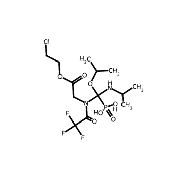 CC(C)NC(OC(C)C)(N(CC(=O)OCCCl)C(=O)C(F)(F)F)P(=O)(O)O